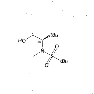 CN([C@@H](CO)C(C)(C)C)S(=O)(=O)C(C)(C)C